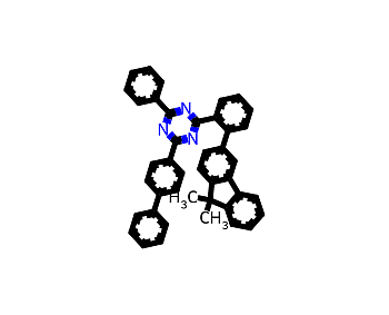 CC1(C)c2ccccc2-c2cc(-c3ccccc3-c3nc(-c4ccccc4)nc(-c4ccc(-c5ccccc5)cc4)n3)ccc21